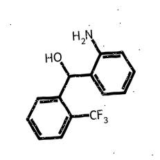 Nc1ccccc1C(O)c1ccccc1C(F)(F)F